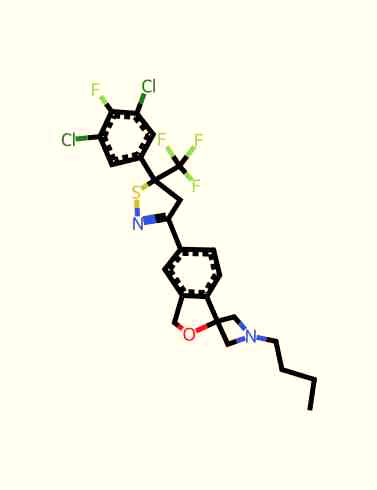 CCCCN1CC2(C1)OCc1cc(C3=NSC(c4cc(Cl)c(F)c(Cl)c4)(C(F)(F)F)C3)ccc12